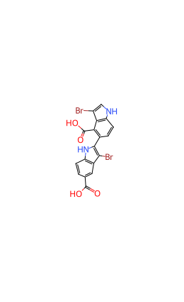 O=C(O)c1ccc2[nH]c(-c3ccc4[nH]cc(Br)c4c3C(=O)O)c(Br)c2c1